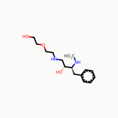 O=C(O)N[C@@H](Cc1ccccc1)[C@H](O)CNCCOCCO